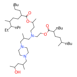 CCCCC(C)CCC(CCCC)C(=O)OCCN(CCC(C)OC(=O)C(CCC(C)CC)CCC(C)C(CC)CCC)CC(C)CN1CCN(CC(C)CC(C)O)CC1